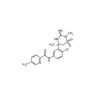 Cc1ccc(C(=O)Nc2ccc(Cl)c([C@]3(C)CS(=O)(=O)N(C)C(=N)N3)c2)nc1